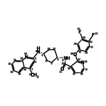 Cc1cc(N[C@H]2CC[C@@H](NC(=O)c3cccnc3Oc3ccc(F)c(F)c3)CC2)nc2ccccc12